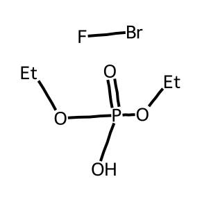 CCOP(=O)(O)OCC.FBr